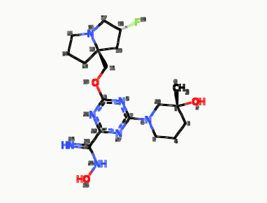 C[C@@]1(O)CCCN(c2nc(OC[C@@]34CCCN3C[C@H](F)C4)nc(C(=N)NO)n2)C1